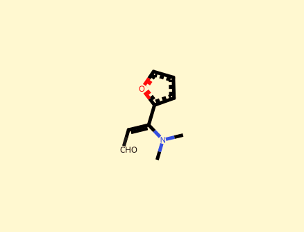 CN(C)C(=CC=O)c1ccco1